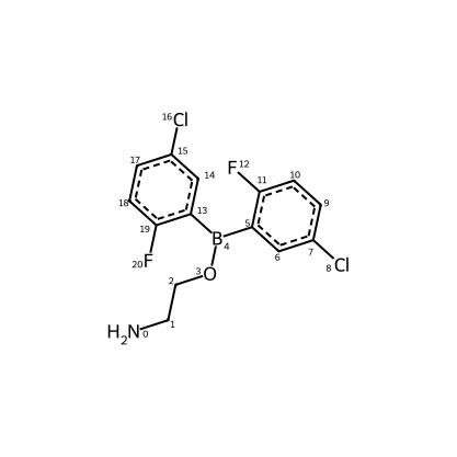 NCCOB(c1cc(Cl)ccc1F)c1cc(Cl)ccc1F